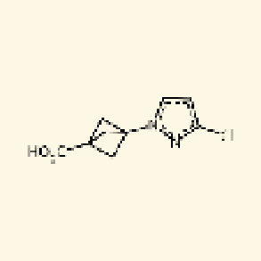 O=C(O)C12CC(n3ccc(Cl)n3)(C1)C2